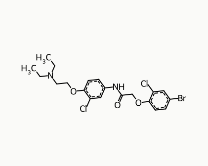 CCN(CC)CCOc1ccc(NC(=O)COc2ccc(Br)cc2Cl)cc1Cl